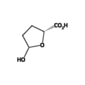 O=C(O)[C@H]1CCC(O)O1